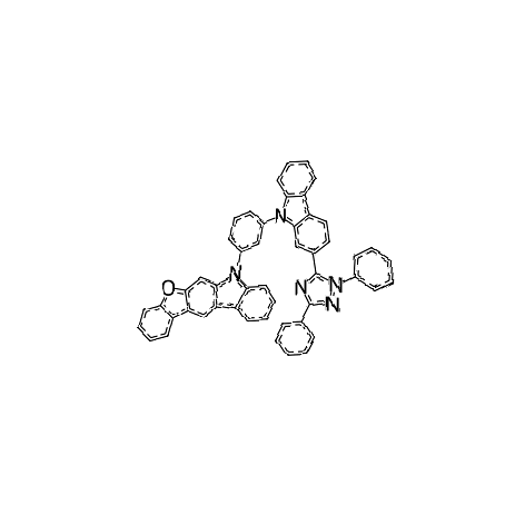 c1ccc(-c2nc(-c3ccc4c5ccccc5n(-c5cccc(-n6c7ccccc7c7cc8c(cc76)oc6ccccc68)c5)c4c3)n(-c3ccccc3)n2)cc1